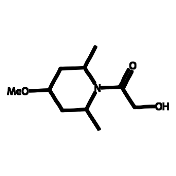 COC1CC(C)N(C(=O)CO)C(C)C1